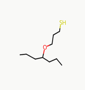 CCCC(CCC)OCCCS